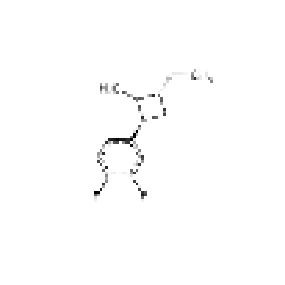 CC[C@@H]1C[C@@H](c2ccc(F)c(F)c2)C1C